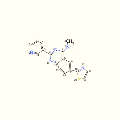 CNc1nc(-c2cccnc2)nc2ccc(-c3nccs3)cc12